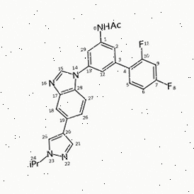 CC(=O)Nc1cc(-c2ccc(F)cc2F)cc(-n2cnc3cc(-c4cnn(C(C)C)c4)ccc32)c1